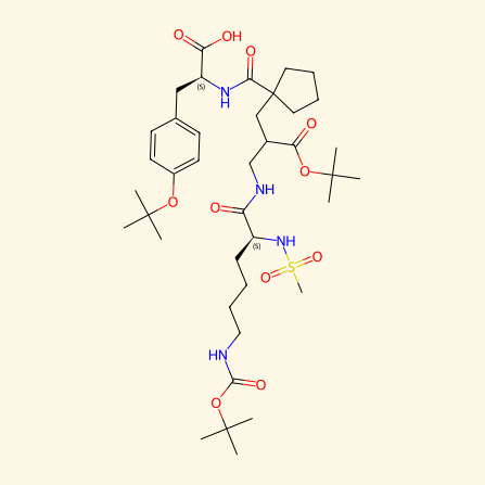 CC(C)(C)OC(=O)NCCCC[C@H](NS(C)(=O)=O)C(=O)NCC(CC1(C(=O)N[C@@H](Cc2ccc(OC(C)(C)C)cc2)C(=O)O)CCCC1)C(=O)OC(C)(C)C